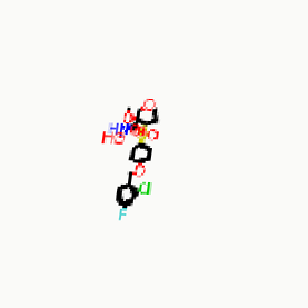 COC1(C(=O)NO)COCCC1S(=O)(=O)c1ccc(OCc2ccc(F)cc2Cl)cc1